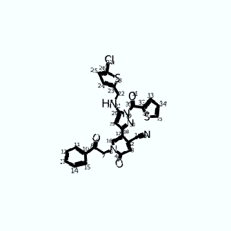 N#Cc1cc(=O)n(CC(=O)c2ccccc2)cc1-c1cc(NCc2ccc(Cl)s2)n(C(=O)c2cccs2)n1